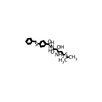 CC(C)SCC[C@@H](N)C(O)C(=O)NNC(=O)c1ccc(SCc2ccccc2)cc1